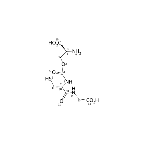 N[C@@H](COC(=O)N[C@@H](CS)C(=O)NCC(=O)O)C(=O)O